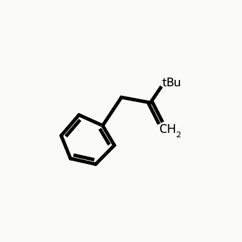 C=C(Cc1ccccc1)C(C)(C)C